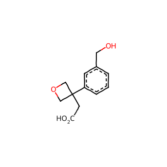 O=C(O)CC1(c2cccc(CO)c2)COC1